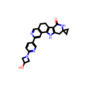 O=C1NC2(CC2)Cc2[nH]c3c(c21)CCc1cnc(-c2ccc(N4CC(O)C4)nc2)cc1-3